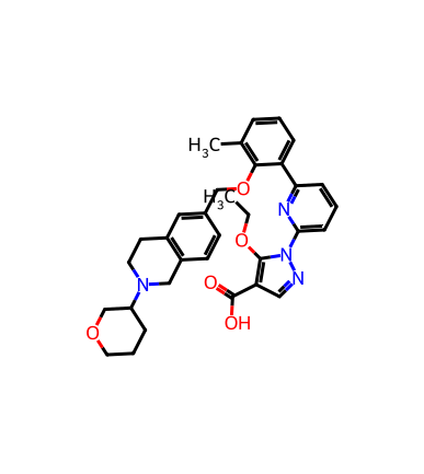 CCOc1c(C(=O)O)cnn1-c1cccc(-c2cccc(C)c2OCc2ccc3c(c2)CCN(C2CCCOC2)C3)n1